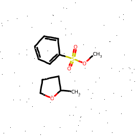 CC1CCCO1.COS(=O)(=O)c1ccccc1